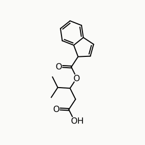 CC(C)C(CC(=O)O)OC(=O)C1C=Cc2ccccc21